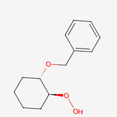 OO[C@H]1CCCC[C@@H]1OCc1ccccc1